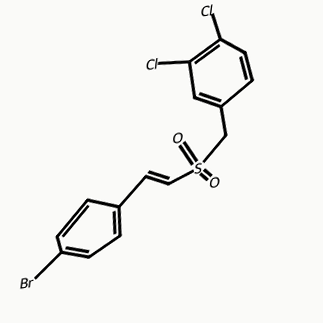 O=S(=O)(C=Cc1ccc(Br)cc1)Cc1ccc(Cl)c(Cl)c1